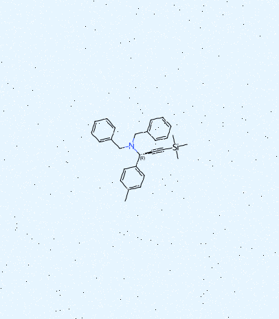 Cc1ccc([C@H](C#C[Si](C)(C)C)N(Cc2ccccc2)Cc2ccccc2)cc1